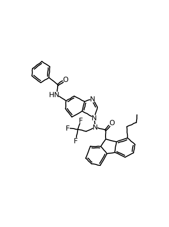 CCCc1cccc2c1C(C(=O)N(CC(F)(F)F)n1cnc3cc(NC(=O)c4ccccc4)ccc31)c1ccccc1-2